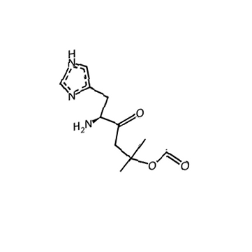 CC(C)(CC(=O)[C@@H](N)Cc1c[nH]cn1)O[C]=O